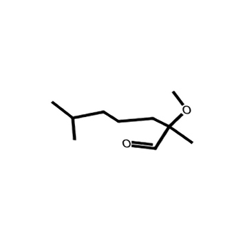 COC(C)(C=O)CCCC(C)C